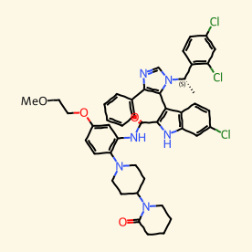 COCCOc1ccc(N2CCC(N3CCCCC3=O)CC2)c(NC(=O)c2[nH]c3cc(Cl)ccc3c2-c2c(-c3ccccc3)ncn2[C@@H](C)c2ccc(Cl)cc2Cl)c1